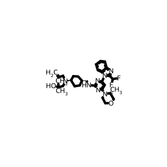 C=CCN(CC(C)(C)O)[C@H]1CC[C@H](CNc2nc(N3CCOC[C@@H]3C)cc(-n3c(C(F)F)nc4ccccc43)n2)CC1